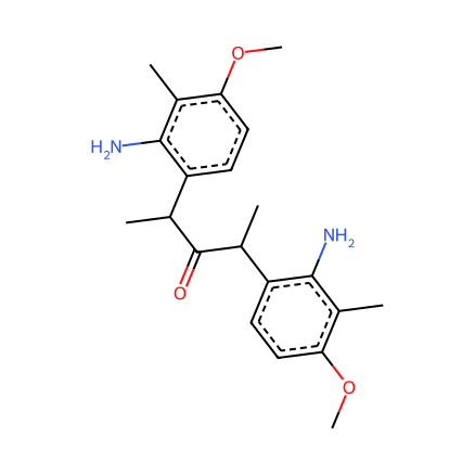 COc1ccc(C(C)C(=O)C(C)c2ccc(OC)c(C)c2N)c(N)c1C